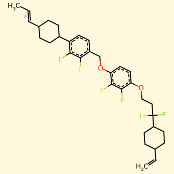 C=CC1CCC(C(F)(F)CCOc2ccc(OCc3ccc(C4CCC(/C=C/C)CC4)c(F)c3F)c(F)c2F)CC1